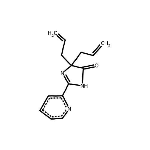 C=CCC1(CC=C)N=C(c2ccccn2)NC1=O